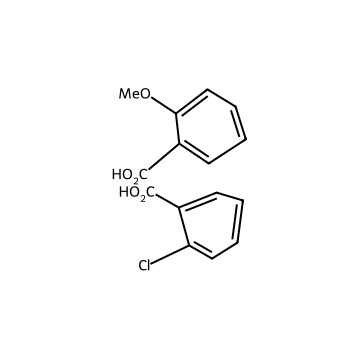 COc1ccccc1C(=O)O.O=C(O)c1ccccc1Cl